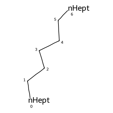 [CH2]CCCCCCCCCCCCCCCC[CH]C